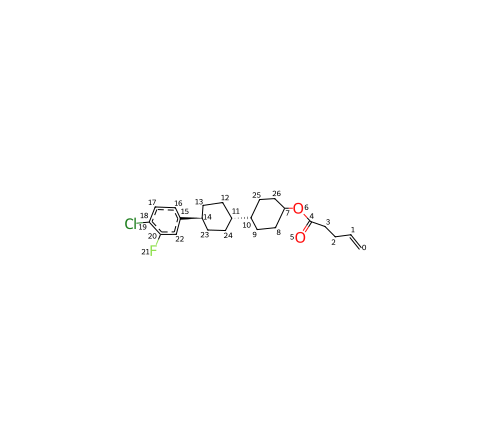 C=CCCC(=O)OC1CCC([C@H]2CC[C@H](c3ccc(Cl)c(F)c3)CC2)CC1